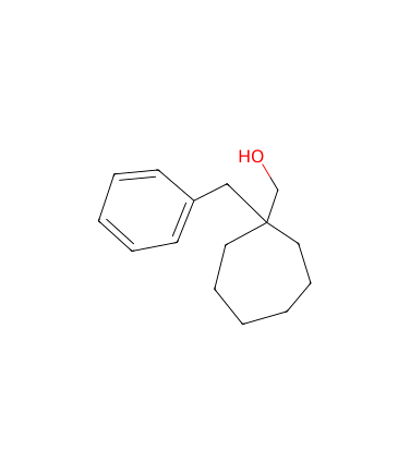 OCC1(Cc2ccccc2)CCCCCC1